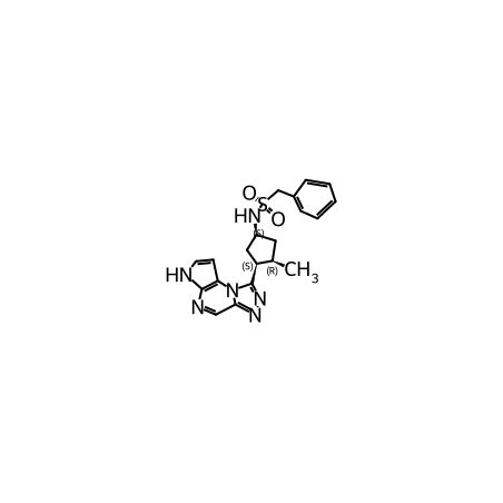 C[C@@H]1C[C@H](NS(=O)(=O)Cc2ccccc2)C[C@@H]1c1nnc2cnc3[nH]ccc3n12